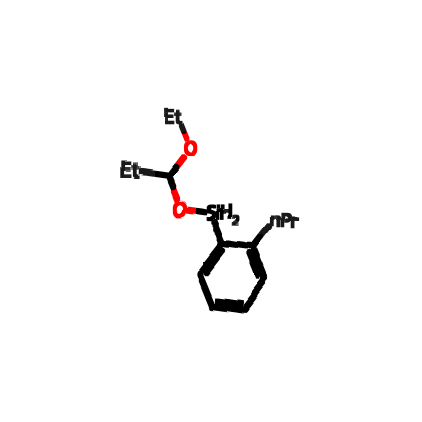 CCCc1ccccc1[SiH2]OC(CC)OCC